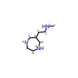 CNCCC1C[N]CCNC1